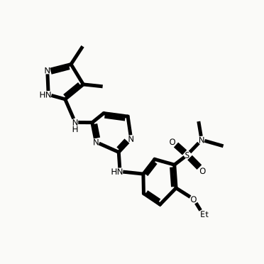 CCOc1ccc(Nc2nccc(Nc3[nH]nc(C)c3C)n2)cc1S(=O)(=O)N(C)C